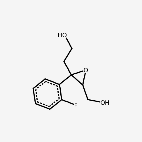 OCCC1(c2ccccc2F)OC1CO